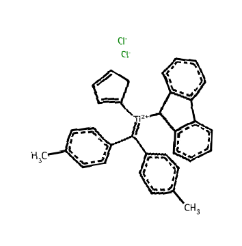 Cc1ccc([C](c2ccc(C)cc2)=[Ti+2]([C]2=CC=CC2)[CH]2c3ccccc3-c3ccccc32)cc1.[Cl-].[Cl-]